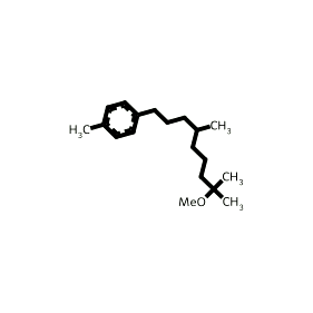 COC(C)(C)CCCC(C)CCCc1ccc(C)cc1